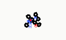 c1ccc(C2=NC(c3ccccc3)NC(c3cc(-c4cccc5c6ccccc6n(-c6ccccc6)c45)c4c(c3)oc3ccccc34)=N2)cc1